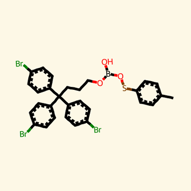 Cc1ccc(SOB(O)OCCCC(c2ccc(Br)cc2)(c2ccc(Br)cc2)c2ccc(Br)cc2)cc1